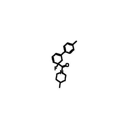 Cc1ccc(C2=CC=CC(F)(C(=O)N3CCC(C)CC3)C2)cc1